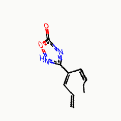 C=C/C=C(\C=C/C)c1nc(=O)o[nH]1